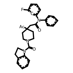 CC(=O)C1(CC(=O)N(c2ccccc2)c2cccc(F)c2)CCN(C(=O)N2CCc3ccccc32)CC1